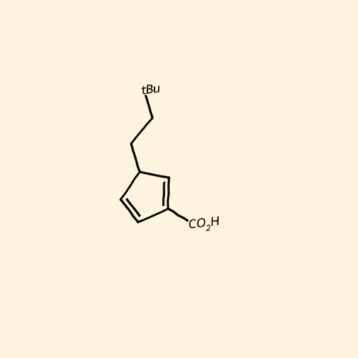 CC(C)(C)CCC1C=CC(C(=O)O)=C1